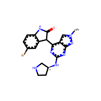 CCCn1cc2c(C3C(=O)Nc4ccc(Br)cc43)nc(N[C@H]3CCNC3)nc2n1